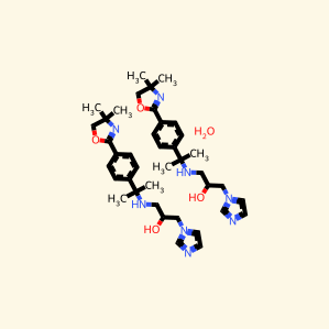 CC1(C)COC(c2ccc(C(C)(C)NCC(O)Cn3ccnc3)cc2)=N1.CC1(C)COC(c2ccc(C(C)(C)NCC(O)Cn3ccnc3)cc2)=N1.O